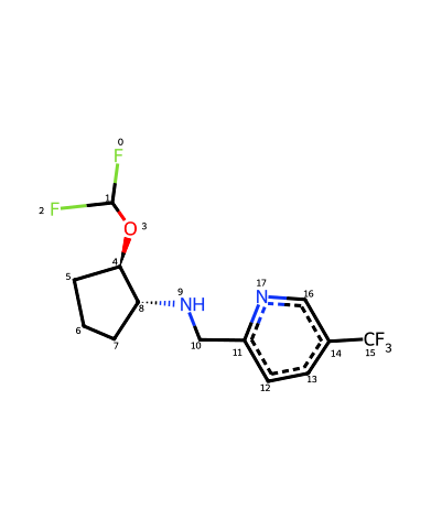 FC(F)O[C@@H]1CCC[C@H]1NCc1ccc(C(F)(F)F)cn1